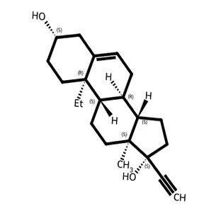 C#C[C@]1(O)CC[C@H]2[C@@H]3CC=C4C[C@@H](O)CC[C@]4(CC)[C@H]3CC[C@@]21C